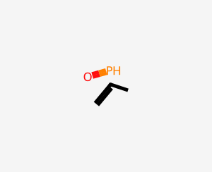 C=CC.O=P